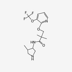 CC1CNCC1NC(=O)C(C)(C)COc1ncccc1OC(F)(F)F